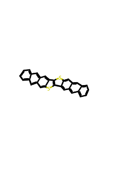 c1ccc2cc3cc4c(cc3cc2c1)sc1c2cc3cc5ccccc5cc3cc2sc41